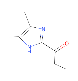 CCC(=O)c1nc(C)c(C)[nH]1